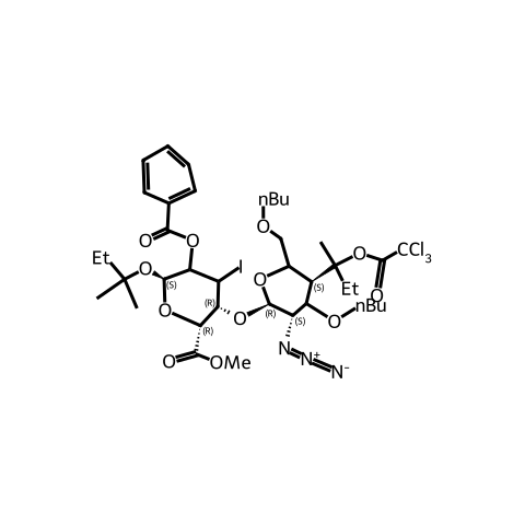 CCCCOCC1O[C@H](O[C@H]2C(I)C(OC(=O)c3ccccc3)[C@H](OC(C)(C)CC)O[C@H]2C(=O)OC)[C@@H](N=[N+]=[N-])C(OCCCC)[C@@H]1C(C)(CC)OC(=O)C(Cl)(Cl)Cl